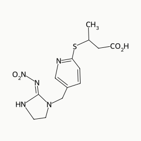 CC(CC(=O)O)Sc1ccc(CN2CCNC2=N[N+](=O)[O-])cn1